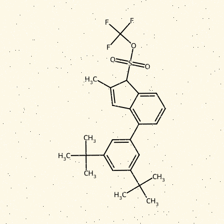 CC1=Cc2c(-c3cc(C(C)(C)C)cc(C(C)(C)C)c3)cccc2C1S(=O)(=O)OC(F)(F)F